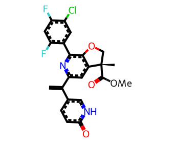 C=C(c1ccc(=O)[nH]c1)c1cc2c(c(-c3cc(Cl)c(F)cc3F)n1)OC[C@]2(C)C(=O)OC